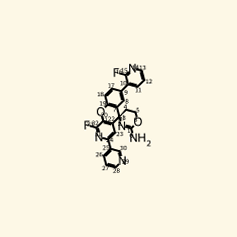 NC1=N[C@@]2(CCO1)c1cc(-c3cccnc3F)ccc1Oc1c2cc(-c2cccnc2)nc1F